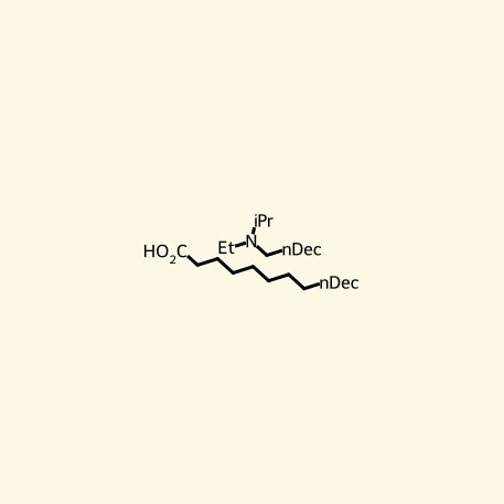 CCCCCCCCCCCCCCCCCC(=O)O.CCCCCCCCCCCN(CC)C(C)C